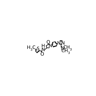 Cc1ccc(C(=O)NCC2CC(=O)N(c3ccc(-n4ccnc4CN(C)C)cc3)C2)s1